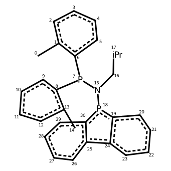 Cc1ccccc1P(c1ccccc1C)N(CC(C)C)p1c2ccccc2c2ccccc21